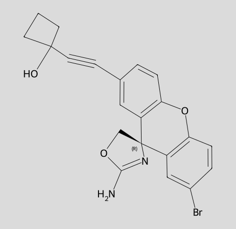 NC1=N[C@@]2(CO1)c1cc(Br)ccc1Oc1ccc(C#CC3(O)CCC3)cc12